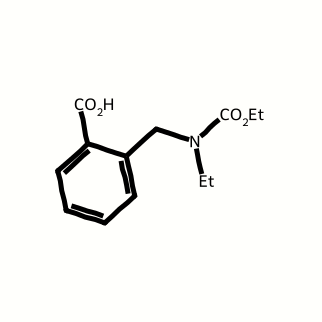 CCOC(=O)N(CC)Cc1ccccc1C(=O)O